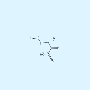 C=C(CCCC)C(=O)O.[Ti]